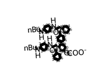 CCCCNc1ccc(NC(=O)C[N+]2(Cc3ccccc3)CCCCC2)cc1.CCCCNc1ccc(NC(=O)C[N+]2(Cc3ccccc3)CCCCC2)cc1.O=C([O-])[O-]